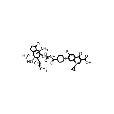 CC=C[C@]1(C)C[C@@H](OC(=O)NC(=O)C2CCN(c3cc4c(cc3F)c(=O)c(C(=O)O)cn4C3CC3)CC2)[C@]2(C)C(C)CCC3(CCC(=O)C32)[C@@H](C)[C@@H]1O